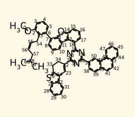 COc1cccc(-c2cccc3c2oc2cccc(-c4nc(C5=Cc6c(sc7ccccc67)CC5)nc(-c5ccc6ccc7ccccc7c6c5)n4)c23)c1C/C=C\CC(C)C